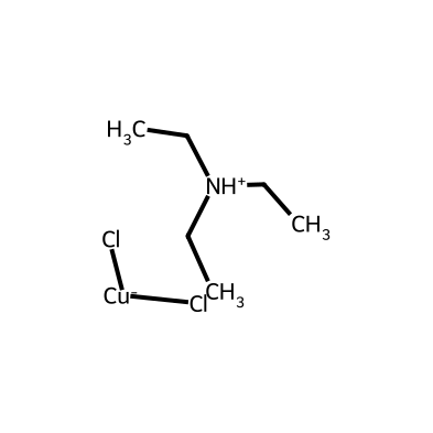 CC[NH+](CC)CC.[Cl][Cu-][Cl]